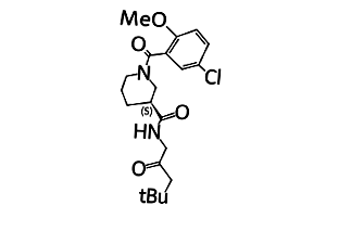 COc1ccc(Cl)cc1C(=O)N1CCC[C@H](C(=O)NCC(=O)CC(C)(C)C)C1